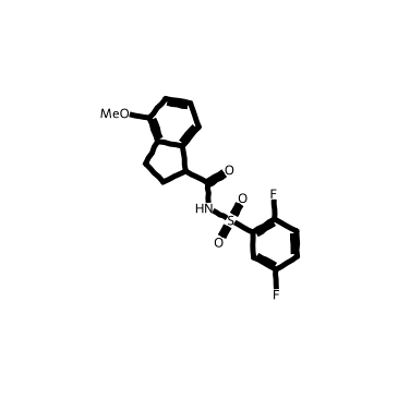 COc1cccc2c1CCC2C(=O)NS(=O)(=O)c1cc(F)ccc1F